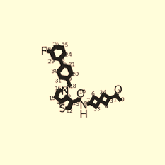 CC(=O)C1CC2(CC(NC(=O)c3csc4ccn(Cc5ccc(-c6cccc(F)c6)cc5)c34)C2)C1